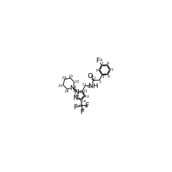 O=C(Cc1cccc(F)c1)NCc1cc(C(F)(F)F)nn1N1CCCCC1